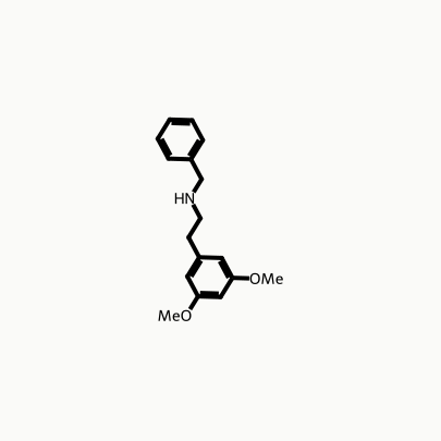 COc1cc(CCNCc2ccccc2)cc(OC)c1